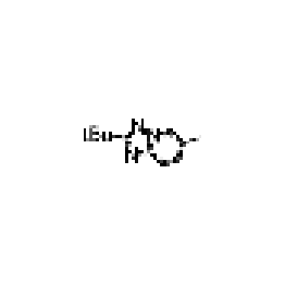 CC(C)(C)c1nc2ccc(I)cn2n1